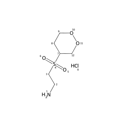 Cl.NCCS(=O)(=O)C1CCOOC1